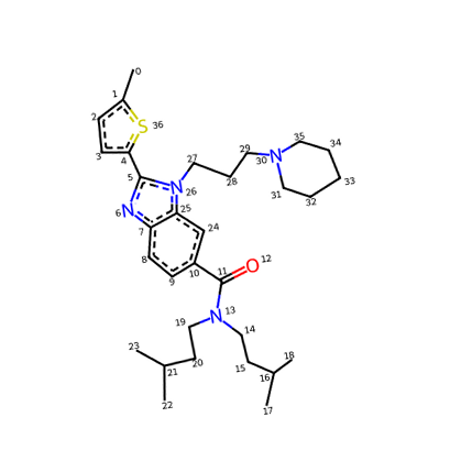 Cc1ccc(-c2nc3ccc(C(=O)N(CCC(C)C)CCC(C)C)cc3n2CCCN2CCCCC2)s1